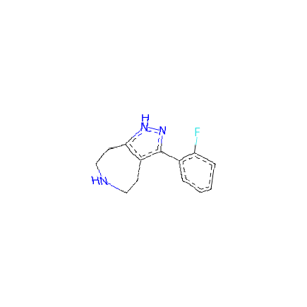 Fc1ccccc1-c1n[nH]c2c1CCNCC2